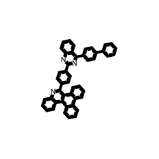 c1ccc(-c2ccc(-c3nc(-c4ccc(-c5nc6ccccc6c6c7ccccc7c7ccccc7c56)cc4)nc4ccccc34)cc2)cc1